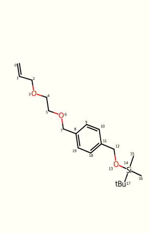 C=CCOCCOCc1ccc(CO[Si](C)(C)C(C)(C)C)cc1